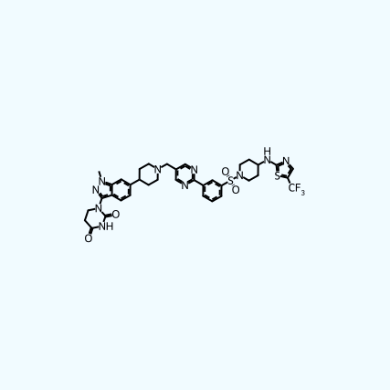 Cn1nc(N2CCC(=O)NC2=O)c2ccc(C3CCN(Cc4cnc(-c5cccc(S(=O)(=O)N6CCC(Nc7ncc(C(F)(F)F)s7)CC6)c5)nc4)CC3)cc21